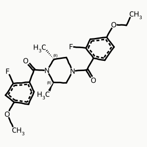 CCOc1ccc(C(=O)N2C[C@@H](C)N(C(=O)c3ccc(OC)cc3F)[C@H](C)C2)c(F)c1